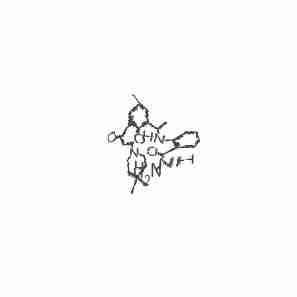 Cc1cc(C(C)Nc2ccccc2C(=O)NN)c2oc(N3CCC(C)(C)CC3)cc(=O)c2c1